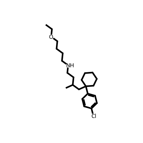 CCOCCCCNCCC(C)CC1(c2ccc(Cl)cc2)CCCCC1